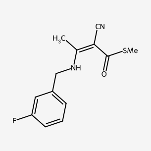 CSC(=O)/C(C#N)=C(/C)NCc1cccc(F)c1